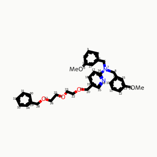 COc1cccc(CN(Cc2cccc(OC)c2)c2ccc(COCCOCCOCc3ccccc3)cn2)c1